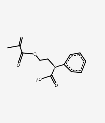 C=C(C)C(=O)OCCN(C(=O)O)c1ccccc1